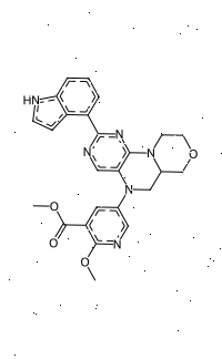 COC(=O)c1cc(N2CC3COCCN3c3nc(-c4cccc5[nH]ccc45)ncc32)cnc1OC